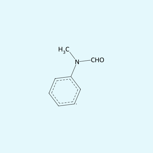 CN(C=O)c1c[c]ccc1